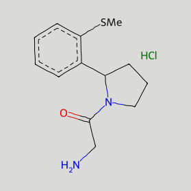 CSc1ccccc1C1CCCN1C(=O)CN.Cl